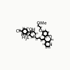 COCCOc1ccc2c(c1)/C(=C\CCN1CCC(O)(c3ccc(Cl)cc3)C(C)(C)C1)c1cccnc1CO2